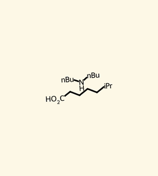 CC(C)CCCCC(=O)O.CCCCNCCCC